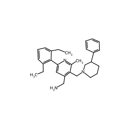 CCc1cccc(CC)c1-c1cc(CN)c(CN2CCCC(c3ccccc3)C2)c(C)n1